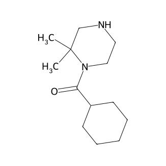 CC1(C)CNCCN1C(=O)C1CCCCC1